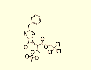 CC(OS(C)(=O)=O)=C(C(=O)OCC(Cl)(Cl)Cl)N1C(=O)C2N=C(Cc3ccccc3)SC21